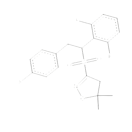 CC1(C)CC(S(=O)(=O)C(Cc2ccc(F)cc2)c2c(F)cccc2F)=NO1